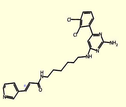 Nc1nc(NCCCCCCNC(=O)/C=C/c2cccnc2)cc(-c2cccc(Cl)c2Cl)n1